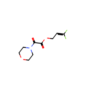 O=C(OCC=C(F)F)C(=O)N1CCOCC1